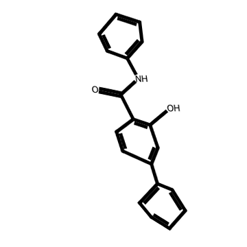 O=C(Nc1ccccc1)c1ccc(-c2ccccc2)cc1O